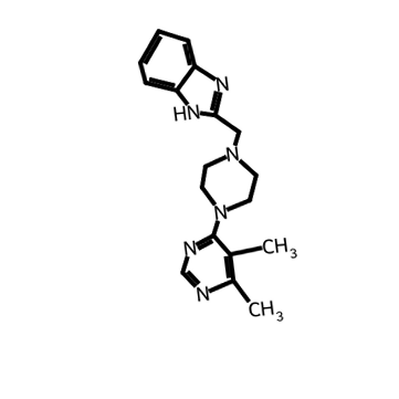 Cc1ncnc(N2CCN(Cc3nc4ccccc4[nH]3)CC2)c1C